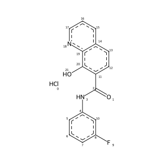 Cl.O=C(Nc1cccc(F)c1)c1ccc2cccnc2c1O